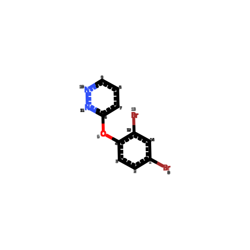 Brc1ccc(Oc2cc[c]nn2)c(Br)c1